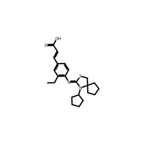 CCc1cc(C=CC(=O)O)ccc1N=C1SCC2(CCCC2)N1C1CCCC1